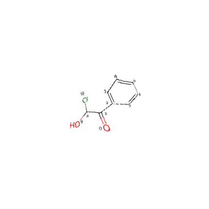 O=C(c1ccccc1)C(O)Cl